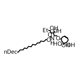 CCCCCCCCCCCCCCCCCCCCCCCCOC(=O)NC(COC1C/C=C\CC(O)C(O)C1O)C(O)CC(O)CC